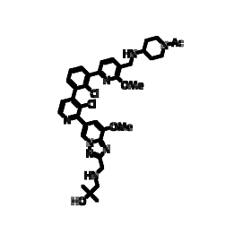 COc1nc(-c2cccc(-c3ccnc(-c4cc(OC)c5nc(CNCC(C)(C)O)nn5c4)c3Cl)c2Cl)ccc1CNC1CCN(C(C)=O)CC1